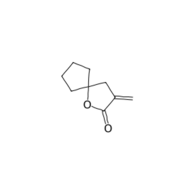 C=C1CC2(CCCC2)OC1=O